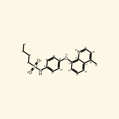 CCCCS(=O)(=O)Nc1ccc(Oc2cccc3c(C)ccnc23)cc1